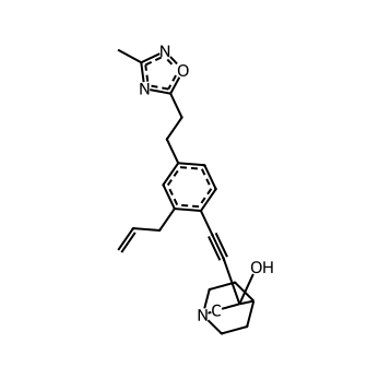 C=CCc1cc(CCc2nc(C)no2)ccc1C#CC1(O)CN2CCC1CC2